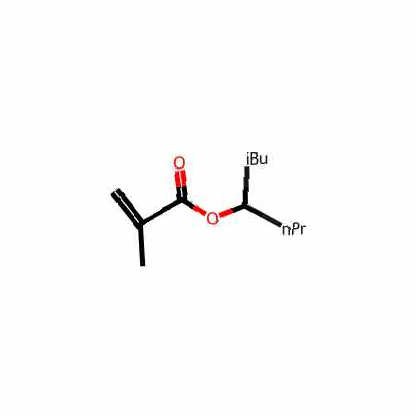 C=C(C)C(=O)OC(CCC)C(C)CC